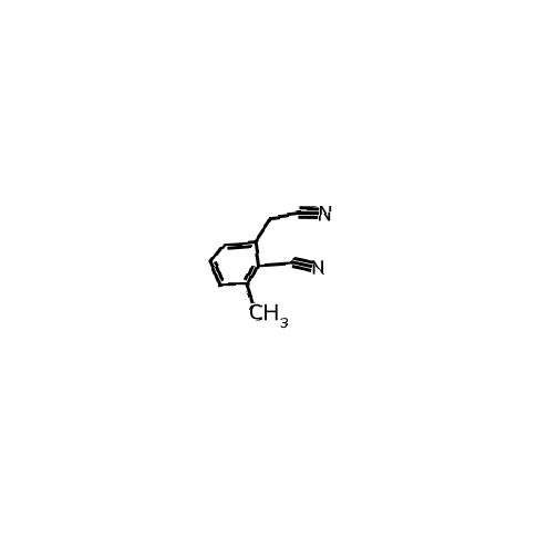 Cc1cccc(CC#N)c1C#N